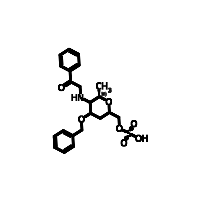 C[C@H]1OC(COS(=O)(=O)O)CC(OCc2ccccc2)C1NCC(=O)c1ccccc1